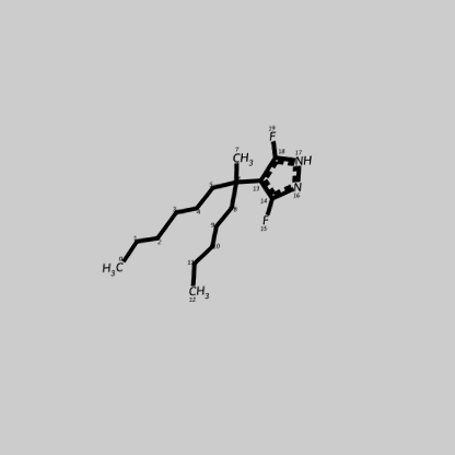 CCCCCCC(C)(CCCCC)c1c(F)n[nH]c1F